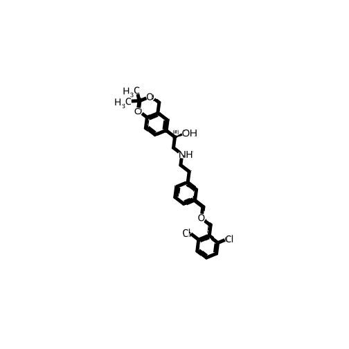 CC1(C)OCc2cc([C@@H](O)CNCCc3cccc(COCc4c(Cl)cccc4Cl)c3)ccc2O1